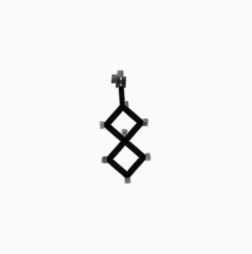 [2H]C1CC2(CCC2)C1